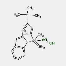 CC1=Cc2ccccc2[CH]1[Zr]([CH3])([CH3])(=[SiH2])[C]1=CC(C(C)(C)C)=CC1.Cl.Cl